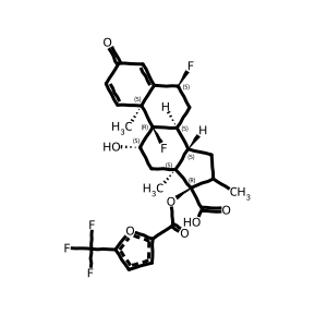 CC1C[C@H]2[C@@H]3C[C@H](F)C4=CC(=O)C=C[C@]4(C)[C@@]3(F)[C@@H](O)C[C@]2(C)[C@@]1(OC(=O)c1ccc(C(F)(F)F)o1)C(=O)O